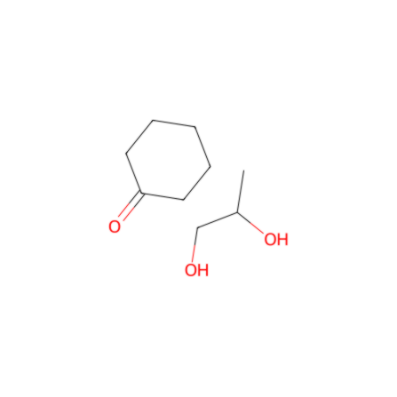 CC(O)CO.O=C1CCCCC1